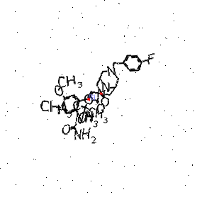 COc1cc(/C=C/C(=O)N2C3CN(Cc4ccc(F)cc4)CC2CN(C(=O)OC(C)(C)C)C3)c(NC(N)=O)cc1Cl